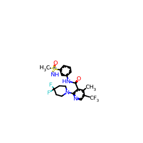 Cc1c(C(F)(F)F)cnc(N2CCC(F)(F)CC2)c1C(=O)Nc1cccc([S@](C)(=N)=O)c1